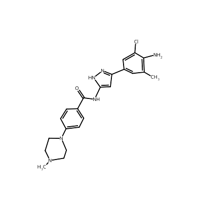 Cc1cc(-c2cc(NC(=O)c3ccc(N4CCN(C)CC4)cc3)[nH]n2)cc(Cl)c1N